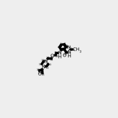 Cc1nc2cccc(NCCOCCN3CCN(C4COC4)CC3)c2c(=O)[nH]1